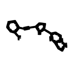 Fc1ccccc1C#Cc1ccc(-c2ccn3nccc3n2)s1